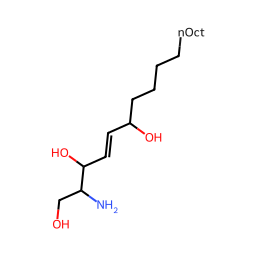 CCCCCCCCCCCCC(O)C=CC(O)C(N)CO